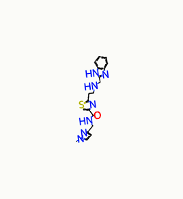 Cn1ccc(CNC(=O)c2csc(CCNCc3nc4ccccc4[nH]3)n2)n1